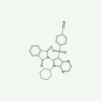 N#Cc1ccc(S(=O)(=O)c2c(N3C(=O)c4ccccc4C3=O)n(C3CCCCC3)c3nccnc23)cc1